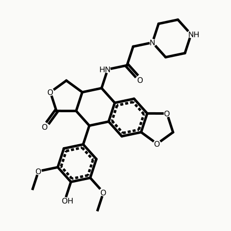 COc1cc(C2c3cc4c(cc3C(NC(=O)CN3CCNCC3)C3COC(=O)C23)OCO4)cc(OC)c1O